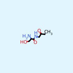 CCC(=O)CNC(=O)C(N)CO